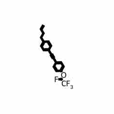 C=CCCc1ccc(C#Cc2ccc(OC(F)C(F)(F)F)cc2)cc1